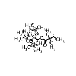 CCC(C)(C)C(=O)OC[Si](O[Si](C)(C)C)(O[Si](C)(C)C)O[Si](C)(C)C